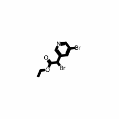 CCOC(=O)C(Br)c1cncc(Br)c1